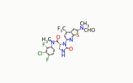 CN(C=O)c1cc2c(C(F)(F)F)cc(N3C(=O)NC[C@H]3C(=O)N(C)c3ccc(F)c(Cl)c3F)nc2s1